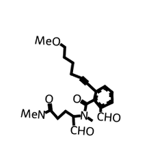 CNC(=O)CCC(C=O)N(C)C(=O)c1c(C#CCCCCOC)cccc1C=O